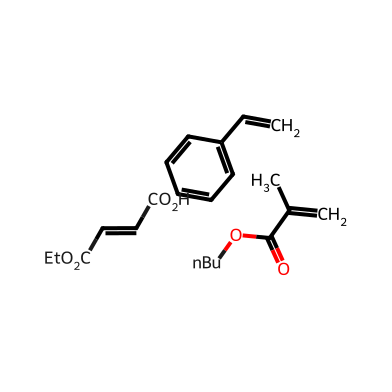 C=C(C)C(=O)OCCCC.C=Cc1ccccc1.CCOC(=O)C=CC(=O)O